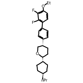 CCC[C@H]1CC[C@H](C2CC[C@@H](c3ccc(-c4ccc(OCC)c(F)c4F)cc3)CO2)CC1